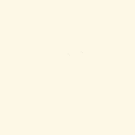 Cc1ccc(C2CCCc3cncn32)cc1